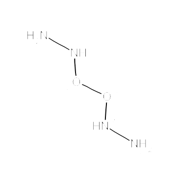 NNOONN